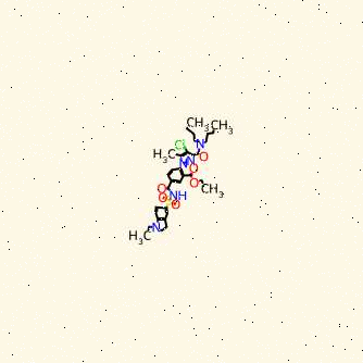 CCCCN(CCCC)C(=O)c1nn(-c2ccc(C(=O)NS(=O)(=O)c3ccc4c(c3)CCN4CC)cc2C(=O)OCC)c(C)c1Cl